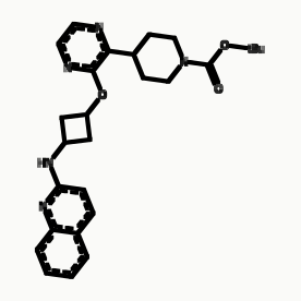 CC(C)(C)OC(=O)N1CCC(c2nccnc2OC2CC(Nc3ccc4ccccc4n3)C2)CC1